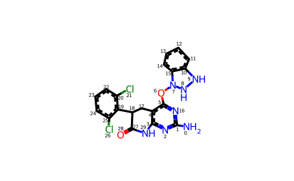 Nc1nc2c(c(ON3NNc4ccccc43)n1)CC(c1c(Cl)cccc1Cl)C(=O)N2